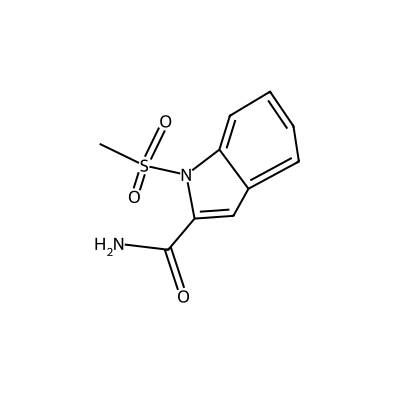 CS(=O)(=O)n1c(C(N)=O)cc2ccccc21